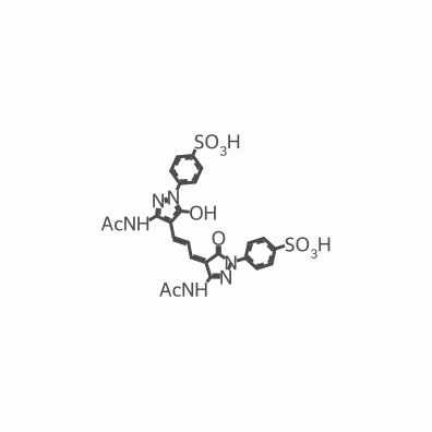 CC(=O)NC1=NN(c2ccc(S(=O)(=O)O)cc2)C(=O)/C1=C\C=Cc1c(NC(C)=O)nn(-c2ccc(S(=O)(=O)O)cc2)c1O